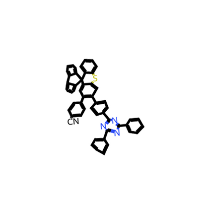 N#Cc1ccc(-c2cc3c(cc2-c2ccc(-c4nc(-c5ccccc5)nc(-c5ccccc5)n4)cc2)Sc2ccccc2C32c3ccccc3-c3ccccc32)cc1